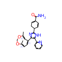 C\C1=C/C=C(c2nc(C3C=CC(C(N)=O)=CC3)[nH]c2-c2ccccn2)\C=C(/C)OCO1